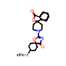 CCCCCC1CCC2(CC1)OC(N1CCC3(CC1)OC(=O)c1ccccc13)=NC2=O